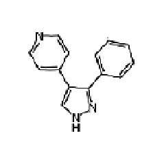 [c]1cccc(-c2n[nH]cc2-c2ccncc2)c1